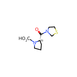 O=C([C@@H]1CCCN1C(=O)O)N1CCSC1